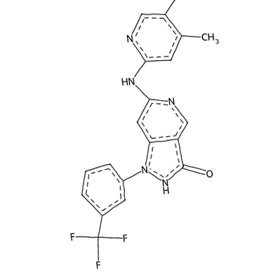 Cc1cc(Nc2cc3c(cn2)c(=O)[nH]n3-c2cccc(C(F)(F)F)c2)ncc1F